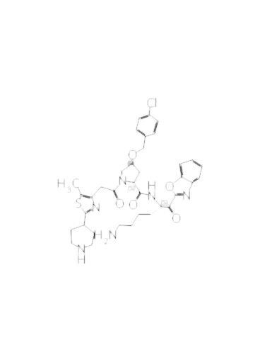 Cc1sc(C2CCNCC2)nc1CC(=O)N1C[C@H](OCc2ccc(Cl)cc2)C[C@H]1C(=O)N[C@@H](CCCCN)C(=O)c1nc2ccccc2o1